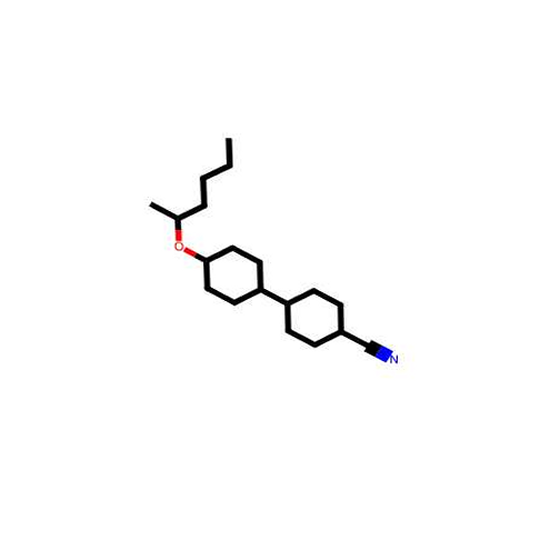 CCCCC(C)OC1CCC(C2CCC(C#N)CC2)CC1